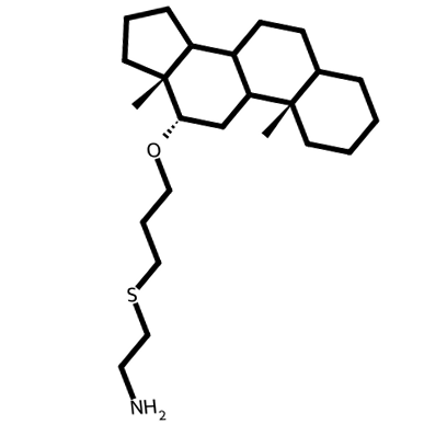 C[C@]12CCCCC1CCC1C2C[C@H](OCCCSCCN)[C@]2(C)CCCC12